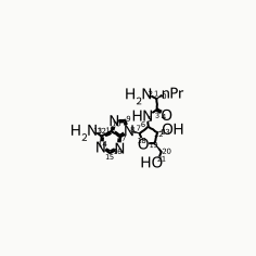 CCC[C@H](N)C(=O)NC1[C@H](n2cnc3c(N)ncnc32)O[C@H](CO)[C@H]1O